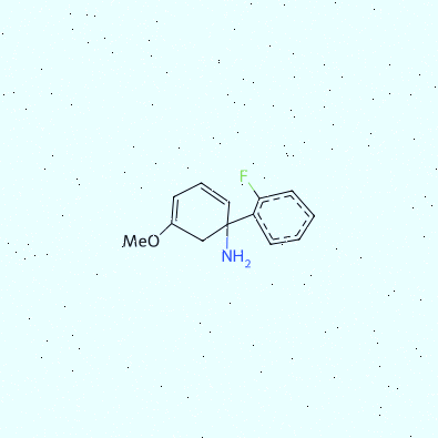 COC1=CC=CC(N)(c2ccccc2F)C1